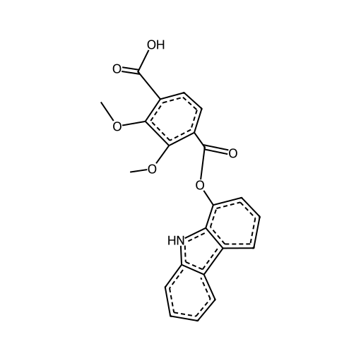 COc1c(C(=O)O)ccc(C(=O)Oc2cccc3c2[nH]c2ccccc23)c1OC